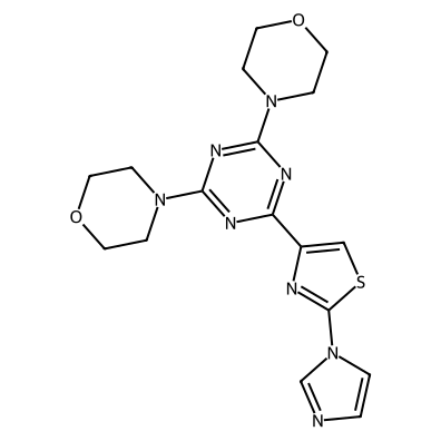 c1cn(-c2nc(-c3nc(N4CCOCC4)nc(N4CCOCC4)n3)cs2)cn1